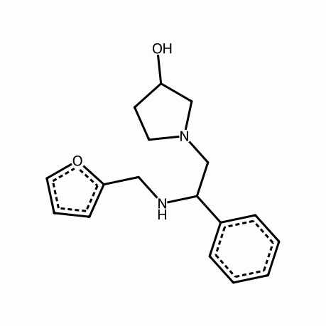 OC1CCN(CC(NCc2ccco2)c2ccccc2)C1